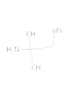 CCCCC(C)(C)N